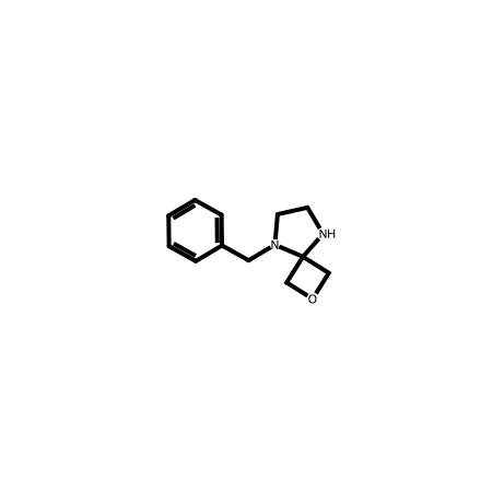 c1ccc(CN2CCNC23COC3)cc1